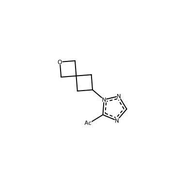 CC(=O)c1ncnn1C1CC2(COC2)C1